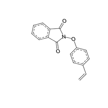 C=Cc1ccc(ON2C(=O)c3ccccc3C2=O)cc1